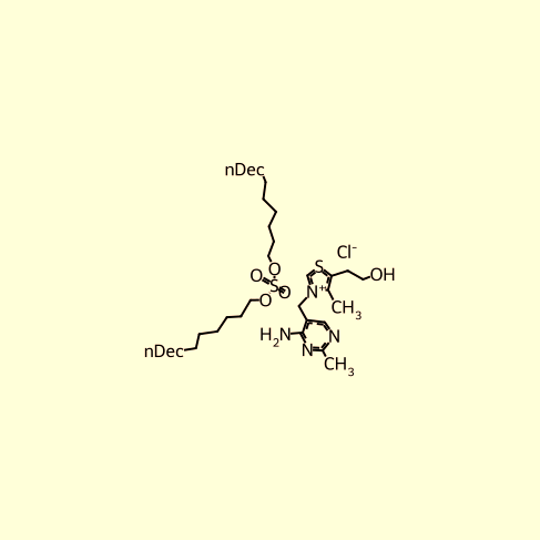 CCCCCCCCCCCCCCCCOS(=O)(=O)OCCCCCCCCCCCCCCCC.Cc1ncc(C[n+]2csc(CCO)c2C)c(N)n1.[Cl-]